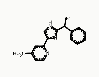 CC(C)C(c1ccccc1)c1nc(-c2cc(C(=O)O)ccn2)c[nH]1